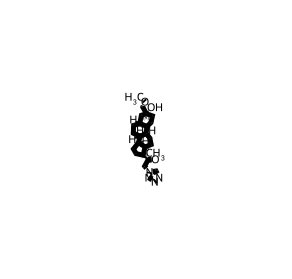 COC[C@@]1(O)CC[C@H]2[C@@H](CC[C@@H]3[C@@H]2CC[C@]2(C)[C@@H](C(=O)Cn4cnnn4)CC[C@@H]32)C1